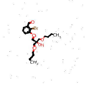 CCCCOCC(O)(COCCCC)COc1cccc(C=O)c1Br